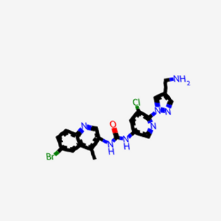 Cc1c(NC(=O)Nc2cnc(-n3cc(CN)cn3)c(Cl)c2)cnc2ccc(Br)cc12